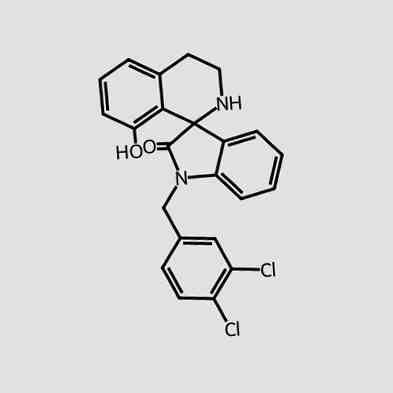 O=C1N(Cc2ccc(Cl)c(Cl)c2)c2ccccc2C12NCCc1cccc(O)c12